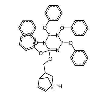 C1=C[C@H]2CC1C(COP1(Oc3ccccc3)=NP(Oc3ccccc3)N(Oc3ccccc3)P(Oc3ccccc3)N1Oc1ccccc1)C2